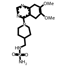 COC1=C(OC)Cc2c(ncnc2N2CCC(CNS(N)(=O)=O)CC2)C1